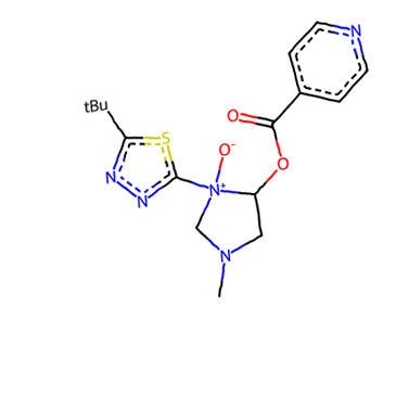 CN1CC(OC(=O)c2ccncc2)[N+]([O-])(c2nnc(C(C)(C)C)s2)C1